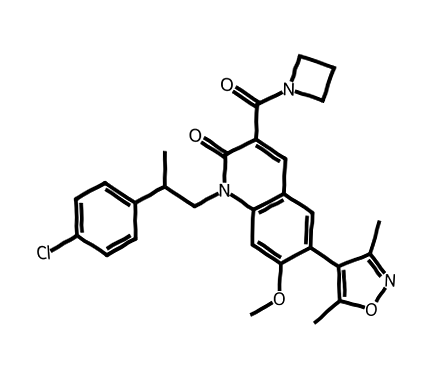 COc1cc2c(cc1-c1c(C)noc1C)cc(C(=O)N1CCC1)c(=O)n2CC(C)c1ccc(Cl)cc1